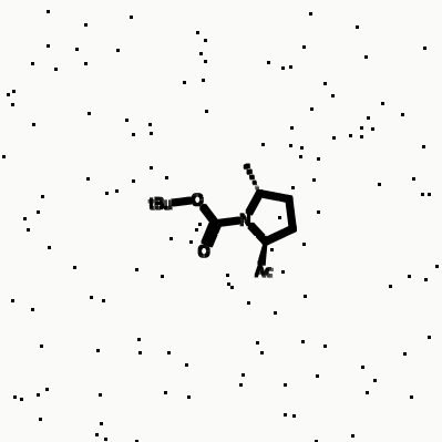 CC(=O)[C@@H]1CC[C@@H](C)N1C(=O)OC(C)(C)C